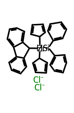 C1=C[CH]([Zr]([CH]2C=CC=C2)([CH]2c3ccccc3-c3ccccc32)[SiH](c2ccccc2)c2ccccc2)C=C1.[Cl-].[Cl-]